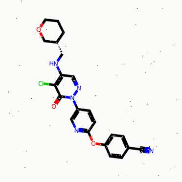 N#Cc1ccc(Oc2ccc(-n3ncc(NC[C@H]4CCCOC4)c(Cl)c3=O)cn2)cc1